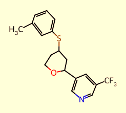 Cc1cccc(SC2CCOC(c3cncc(C(F)(F)F)c3)C2)c1